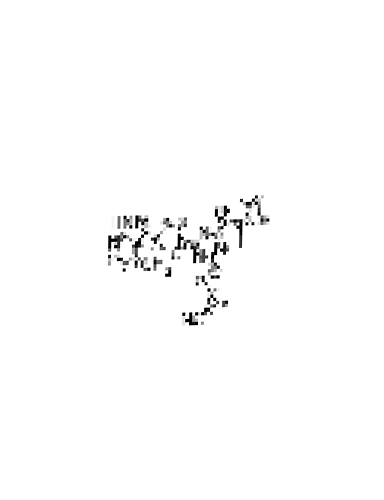 Cc1ccnc2[nH]nc(C3CCN(c4nc(OC[C@H]5C[C@H]5C#N)nc(C(=O)NC56CC(C5)C6)n4)CC3)c12